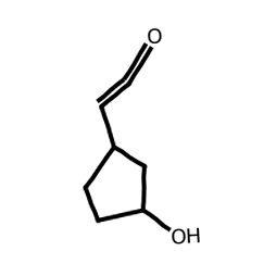 O=C=CC1CCC(O)C1